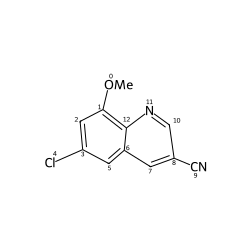 COc1cc(Cl)cc2cc(C#N)cnc12